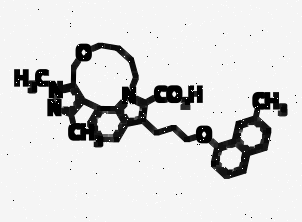 Cc1ccc2cccc(OCCCc3c(C(=O)O)n4c5c(cccc35)-c3c(C)nn(C)c3COCCCC4)c2c1